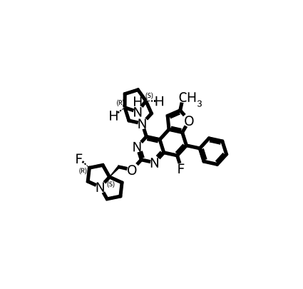 Cc1cc2c(o1)c(-c1ccccc1)c(F)c1nc(OC[C@@]34CCCN3C[C@H](F)C4)nc(N3C[C@H]4CC[C@@H](C3)N4)c12